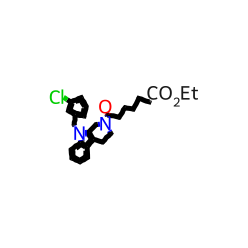 CCOC(=O)CCCCCC(=O)N1CCc2c(n(Cc3cccc(Cl)c3)c3ccccc23)C1